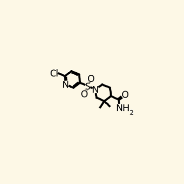 CC1(C)CN(S(=O)(=O)c2ccc(Cl)nc2)CCC1C(N)=O